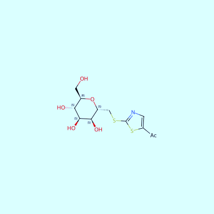 CC(=O)c1cnc(SC[C@H]2O[C@H](CO)[C@@H](O)[C@H](O)[C@@H]2O)s1